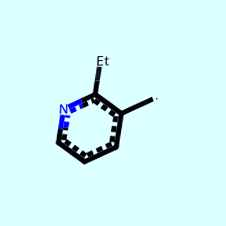 [CH2]c1cccnc1CC